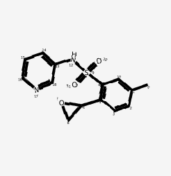 Cc1ccc(C2CO2)c(S(=O)(=O)Nc2cccnc2)c1